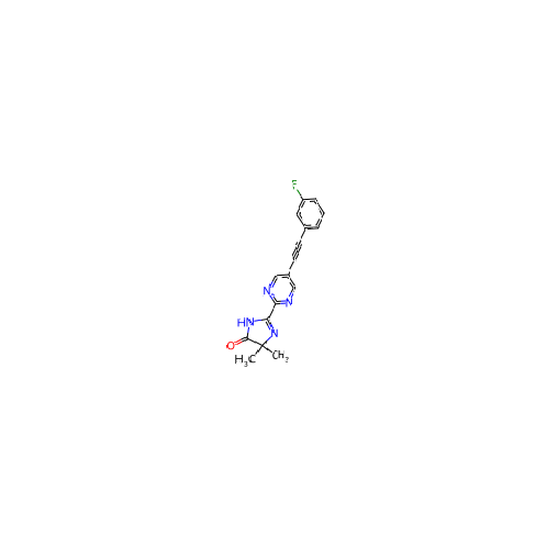 CC1(C)N=C(c2ncc(C#Cc3cccc(F)c3)cn2)NC1=O